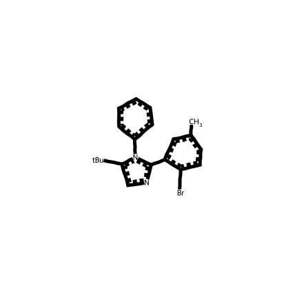 Cc1ccc(Br)c(-c2ncc(C(C)(C)C)n2-c2ccccc2)c1